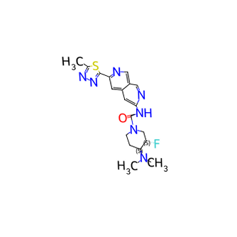 Cc1nnc(-c2cc3cc(NC(=O)N4CC[C@H](N(C)C)[C@@H](F)C4)ncc3cn2)s1